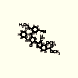 CCNc1ccc(C#N)cc1N=C1SC(=C2Sc3ccc(C(=O)OC)c(OC)c3N2C)C(=O)N1Cc1ccccc1